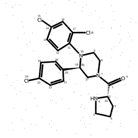 O=C([C@@H]1CCCN1)N1CCN(c2ccc(Cl)cc2Cl)[C@H](c2ccc(Cl)cc2)C1